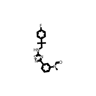 CN(C=O)c1cccc(-c2nsc(NCC(C)(C)c3ccc(F)cc3)n2)c1